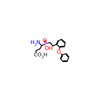 NC(CCC(=O)O)P(=O)(O)CCc1ccccc1Oc1ccccc1